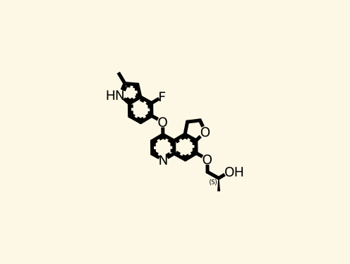 Cc1cc2c(F)c(Oc3ccnc4cc(OC[C@H](C)O)c5c(c34)CCO5)ccc2[nH]1